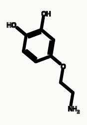 NCCOc1ccc(O)c(O)c1